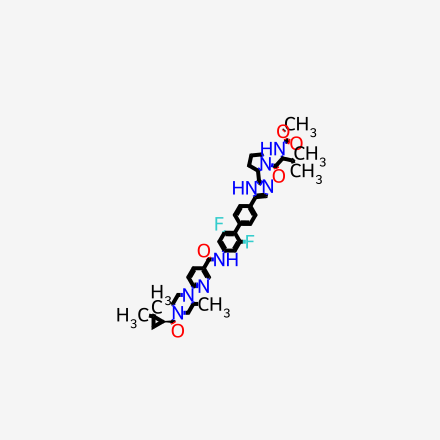 COC(=O)N[C@H](C(=O)N1CCCC1c1ncc(-c2ccc(-c3c(F)cc(NC(=O)c4ccc(N5CCN(C(=O)[C@H]6CC6(C)C)CC5C)nc4)cc3F)cc2)[nH]1)C(C)C